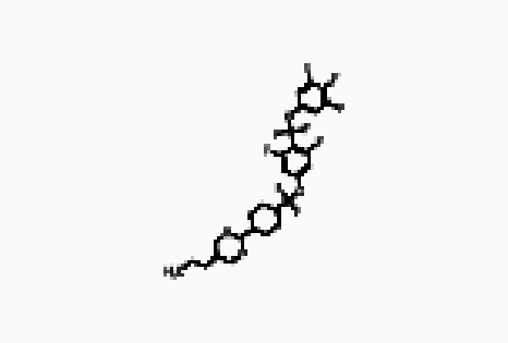 CCCC1COC(C2CCC(C(F)(F)Oc3cc(F)c(C(F)(F)Oc4cc(F)c(F)c(F)c4)c(F)c3)CC2)OC1